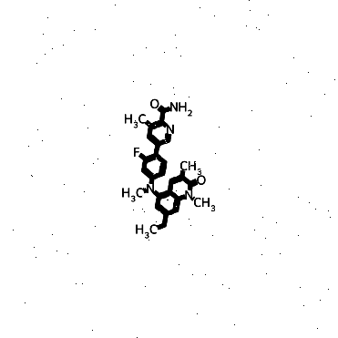 CCc1cc(N(C)c2ccc(-c3cnc(C(N)=O)c(C)c3)c(F)c2)c2cc(C)c(=O)n(C)c2c1